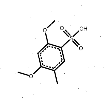 COc1cc(OC)c(S(=O)(=O)O)cc1C